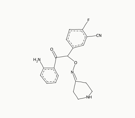 N#Cc1cc(C(ON=C2CCNCC2)C(=O)c2ccccc2N)ccc1F